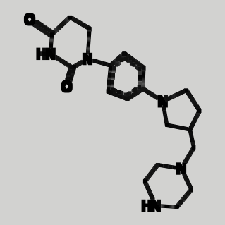 O=C1CCN(c2ccc(N3CCC(CN4CCNCC4)C3)cc2)C(=O)N1